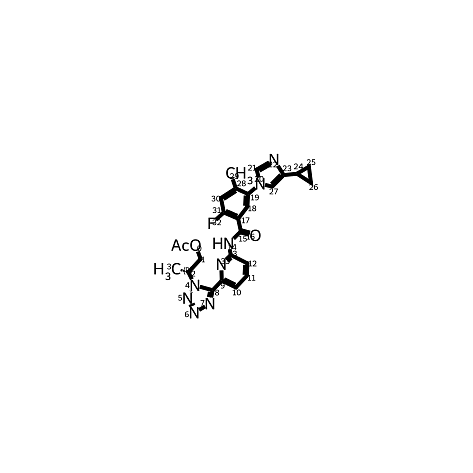 CC(=O)OC[C@@H](C)n1nnnc1-c1cccc(NC(=O)c2cc(-n3cnc(C4CC4)c3)c(C)cc2F)n1